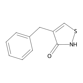 O=c1[nH]scc1Cc1ccccc1